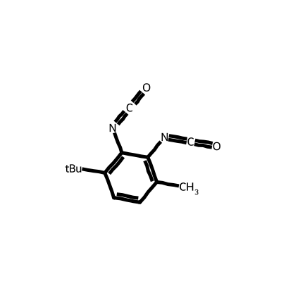 Cc1ccc(C(C)(C)C)c(N=C=O)c1N=C=O